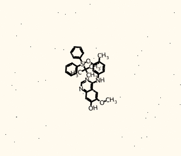 COc1cc2c(Nc3ccc(C)c(O[Si](c4ccccc4)(c4ccccc4)C(C)(C)C)c3)ncnc2cc1O